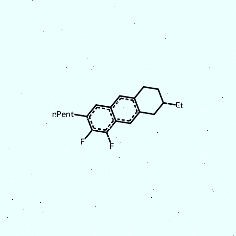 CCCCCc1cc2cc3c(cc2c(F)c1F)CC(CC)CC3